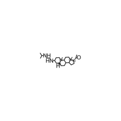 CC(C)NCCNC1CC[C@]2(C)C3CC[C@@]4(C)C(CC[C@@H]4C4CO4)C3CC[C@@H]2C1